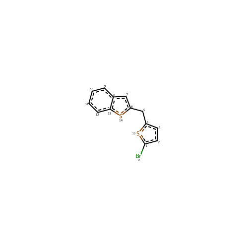 Brc1ccc(Cc2cc3ccccc3s2)s1